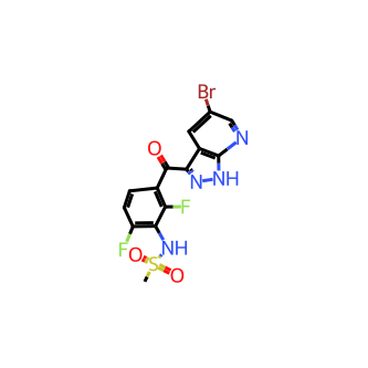 CS(=O)(=O)Nc1c(F)ccc(C(=O)c2n[nH]c3ncc(Br)cc23)c1F